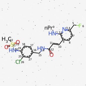 CCCNc1nc(CF)ccc1/C=C/C(=O)NCc1ccc(NS(C)(=O)=O)c(Cl)c1